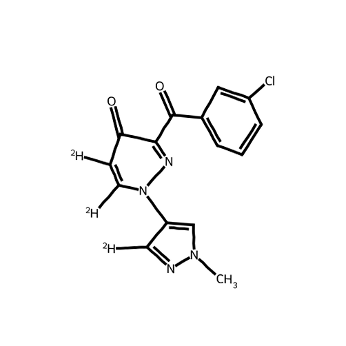 [2H]c1nn(C)cc1-n1nc(C(=O)c2cccc(Cl)c2)c(=O)c([2H])c1[2H]